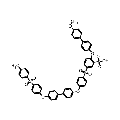 COc1ccc(-c2ccc(Oc3ccc(S(=O)(=O)c4ccc(Oc5ccc(-c6ccc(Oc7ccc(S(=O)(=O)c8ccc(C)cc8)cc7)cc6)cc5)cc4)cc3S(=O)(=O)O)cc2)cc1